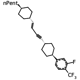 CCCCC[C@H]1CC[C@H](/C=C/C#C[C@H]2CC[C@H](c3ccc(C(F)(F)F)c(F)c3)CC2)CC1